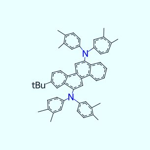 Cc1ccc(N(c2ccc(C)c(C)c2)c2cc3c4ccc(C(C)(C)C)cc4c(N(c4ccc(C)c(C)c4)c4ccc(C)c(C)c4)cc3c3ccccc23)cc1C